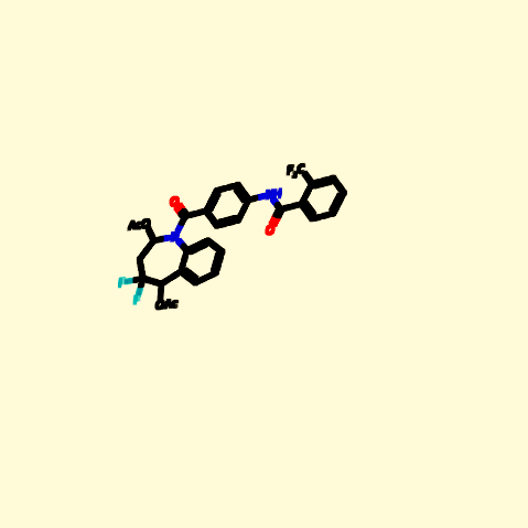 CC(=O)OC1CC(F)(F)C(OC(C)=O)c2ccccc2N1C(=O)c1ccc(NC(=O)c2ccccc2C(F)(F)F)cc1